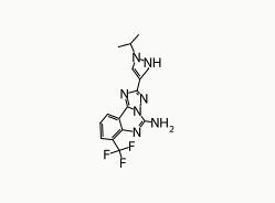 CC(C)N1C=C(c2nc3c4cccc(C(F)(F)F)c4nc(N)n3n2)CN1